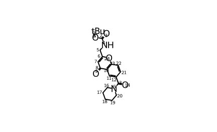 CC(C)(C)OC(=O)NCc1cc(=O)c2cc(C(=O)N3CCCCC3)ccc2o1